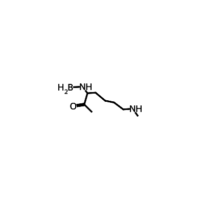 BNC(CCCCNC)C(C)=O